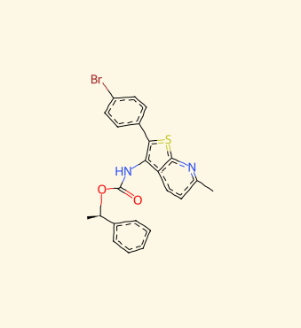 Cc1ccc2c(NC(=O)O[C@H](C)c3ccccc3)c(-c3ccc(Br)cc3)sc2n1